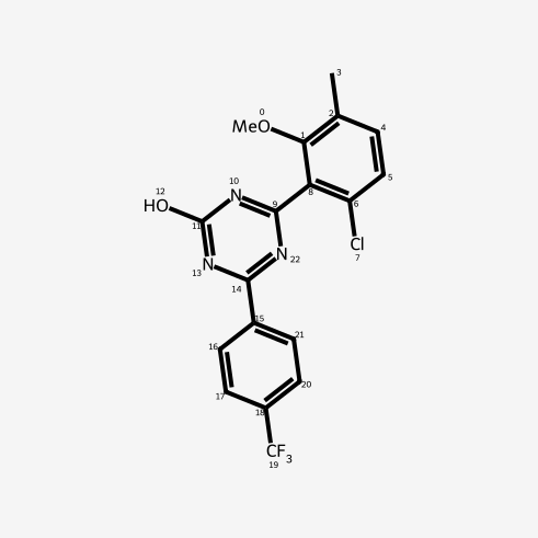 COc1c(C)ccc(Cl)c1-c1nc(O)nc(-c2ccc(C(F)(F)F)cc2)n1